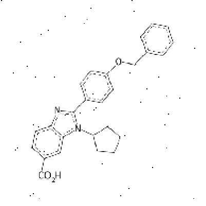 O=C(O)c1ccc2nc(-c3ccc(OCc4ccccc4)cc3)n(C3CCCC3)c2c1